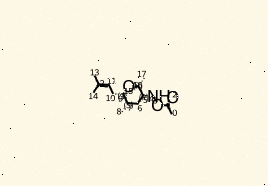 CC(=O)ON[C@@H]1C[C@H](C)[C@H](CC=C(C)C)O[C@@H]1C